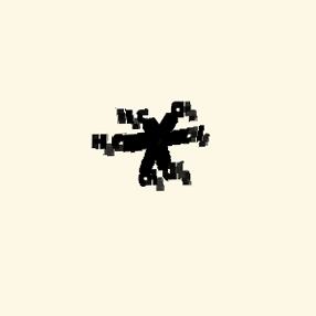 [CH2]=[Au](=[CH2])(=[CH2])(=[CH2])(=[CH2])=[CH2]